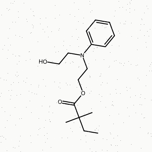 CCC(C)(C)C(=O)OCCN(CCO)c1ccccc1